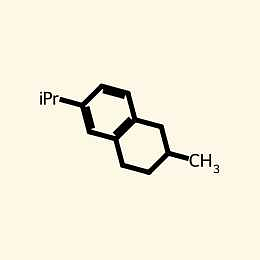 CC1CCc2cc(C(C)C)ccc2C1